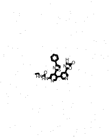 CCNC(=O)Nc1cc(-c2nc(-c3ccccc3)cs2)c(-c2cncc(-c3n[nH]c(=O)o3)c2)cn1